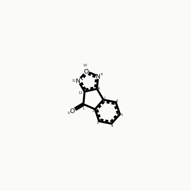 O=C1c2ccccc2-c2nonc21